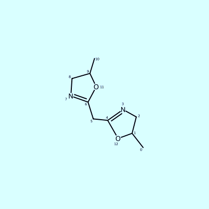 CC1CN=C(CC2=NCC(C)O2)O1